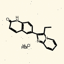 Br.CCc1c(-c2ccc3[nH]c(=O)ccc3c2)nc2ccccn12.O